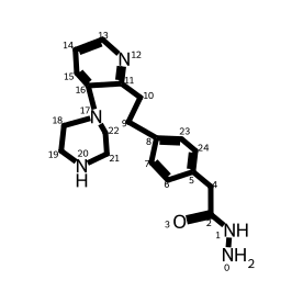 NNC(=O)Cc1ccc(CCc2ncccc2N2CCNCC2)cc1